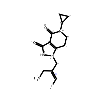 NC/C(=C\F)Cn1[nH]c(=O)c2c1CCN(C1CC1)C2=O